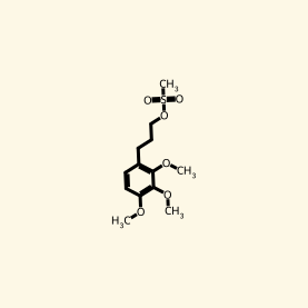 COc1ccc(CCCOS(C)(=O)=O)c(OC)c1OC